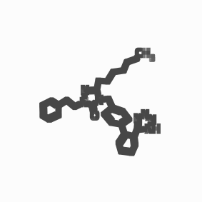 CCCCCCCc1nn(CCc2ccccc2)c(=O)n1Cc1ccc(-c2ccccc2-c2nnn[nH]2)cc1